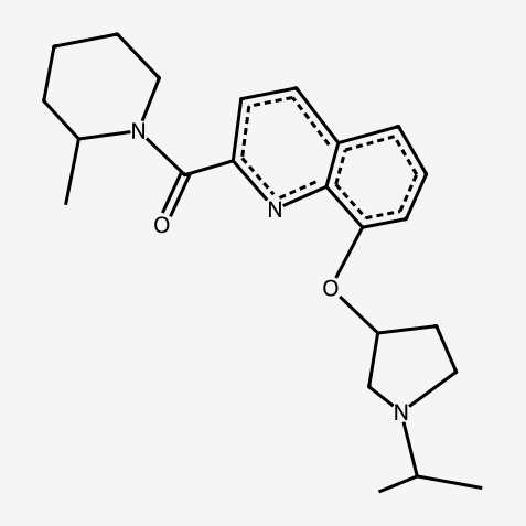 CC(C)N1CCC(Oc2cccc3ccc(C(=O)N4CCCCC4C)nc23)C1